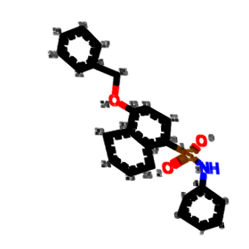 O=S(=O)(Nc1ccccc1)c1ccc(OCc2ccccc2)c2ccccc12